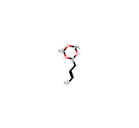 CC=CC[SiH]1O[SiH2]O[SiH2]O1